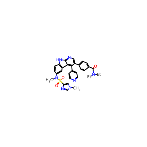 CCN(CC)C(=O)c1ccc(-c2cnc3[nH]c4ccc(N(C)S(=O)(=O)c5cn(C)cn5)cc4c3c2-c2ccncc2)cc1